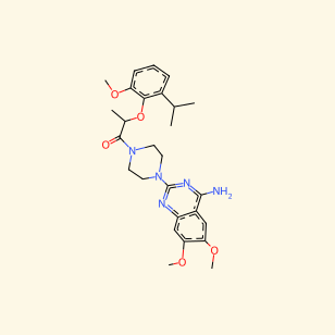 COc1cc2nc(N3CCN(C(=O)C(C)Oc4c(OC)cccc4C(C)C)CC3)nc(N)c2cc1OC